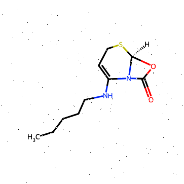 CCCCCNC1=CCS[C@H]2OC(=O)N12